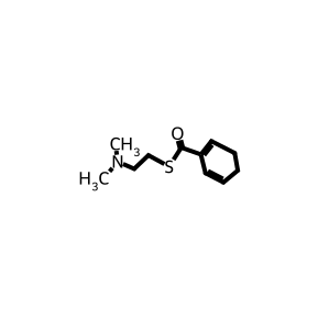 CN(C)CCSC(=O)C1=CCCC=C1